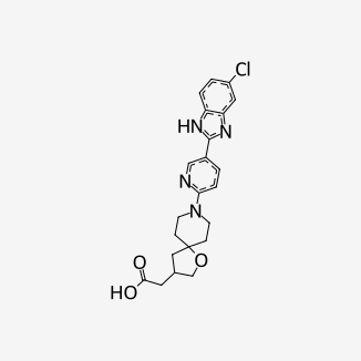 O=C(O)CC1COC2(CCN(c3ccc(-c4nc5cc(Cl)ccc5[nH]4)cn3)CC2)C1